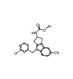 CC(C)OC(=O)NC1Cc2c(n(Cc3ccnc(Cl)n3)c3ccc(C#N)cc23)C1